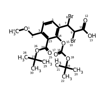 COCc1ccc(C(Br)C(Br)C(=O)O)c(OC(=O)OC(C)(C)C)c1C(=O)OC(C)(C)C